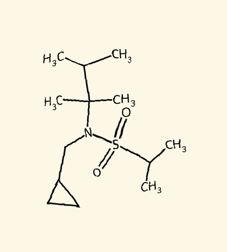 CC(C)C(C)(C)N(CC1CC1)S(=O)(=O)C(C)C